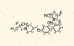 CC(C)(F)CN1CCC(COc2ccc(-c3cccc(F)c3C(=O)N3C[C@@H](F)C[C@H]3C#N)cc2)CC1